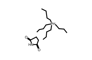 CCCC[PH](CCCC)(CCCC)CCCC.O=C1CCC(=O)N1